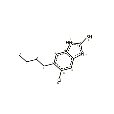 CCCCc1cc2[nH]c(S)nc2cc1Cl